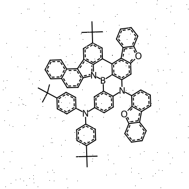 CC(C)(C)c1ccc(N(c2ccc(C(C)(C)C)cc2)c2ccc3c(c2)B2c4c(cc5oc6ccccc6c5c4-c4cc(C(C)(C)C)cc5c6c7ccccc7ccc6n2c45)N3c2cccc3c2oc2ccccc23)cc1